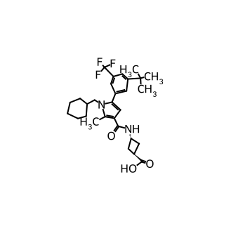 Cc1c(C(=O)N[C@H]2C[C@H](C(=O)O)C2)cc(-c2cc(C(C)(C)C)cc(C(F)(F)F)c2)n1CC1CCCCC1